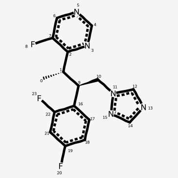 C[C@H](c1ncncc1F)[C@@H](Cn1cncn1)c1ccc(F)cc1F